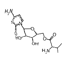 CC(C)C(N)C(=O)OCC1OC(n2ccc(N)nc2=O)C(O)C1O